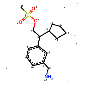 CS(=O)(=O)OCC(c1cccc(CN)c1)C1CCCC1